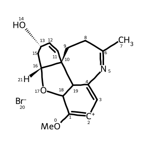 COC1=[C+]C=C2N=C(C)CC[C@]34C=C[C@@H](O)C[C@H]3OC1C24.[Br-]